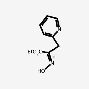 CCOC(=O)/C(Cc1ccccn1)=N\O